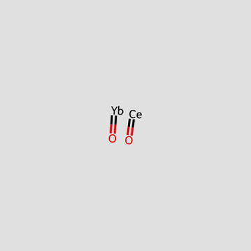 [O]=[Ce].[O]=[Yb]